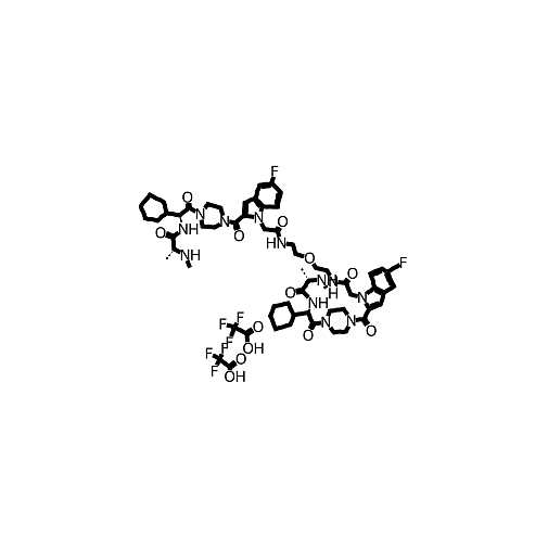 CN[C@@H](C)C(=O)N[C@H](C(=O)N1CCN(C(=O)c2cc3cc(F)ccc3n2CC(=O)NCCOCCNC(=O)Cn2c(C(=O)N3CCN(C(=O)[C@H](NC(=O)[C@@H](C)NC)C4CCCCC4)CC3)cc3cc(F)ccc32)CC1)C1CCCCC1.O=C(O)C(F)(F)F.O=C(O)C(F)(F)F